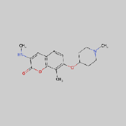 CNc1cc2ccc(OC3CCN(C)CC3)c(C)c2oc1=O